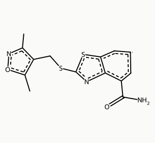 Cc1noc(C)c1CSc1nc2c(C(N)=O)c[c]cc2s1